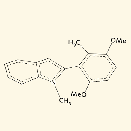 COc1ccc(OC)c(-c2cc3ccccc3n2C)c1C